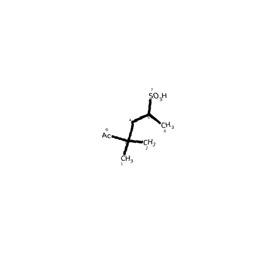 CC(=O)C(C)(C)CC(C)S(=O)(=O)O